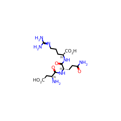 NC(=O)CC[C@H](NC(=O)[C@@H](N)CC(=O)O)C(=O)N[C@@H](CCCN=C(N)N)C(=O)O